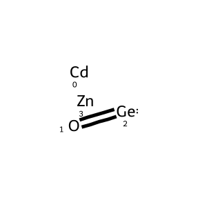 [Cd].[O]=[Ge].[Zn]